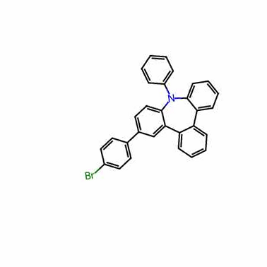 Brc1ccc(-c2ccc3c(c2)-c2ccccc2-c2ccccc2N3c2ccccc2)cc1